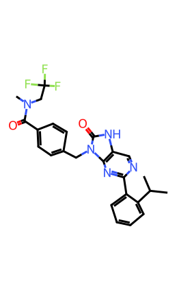 CC(C)c1ccccc1-c1ncc2[nH]c(=O)n(Cc3ccc(C(=O)N(C)CC(F)(F)F)cc3)c2n1